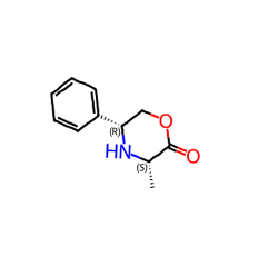 C[C@@H]1N[C@H](c2ccccc2)COC1=O